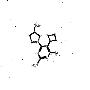 CN[C@@H]1CCN(c2nc(N)nc(N)c2C2CCC2)C1